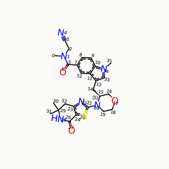 CN(CC#N)C(=O)c1ccc2c(c1)c(C[C@H]1COCCN1c1nc3c(s1)C(=O)NC(C)(C)C3)cn2C